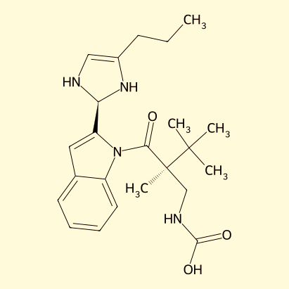 CCCC1=CN[C@H](c2cc3ccccc3n2C(=O)[C@](C)(CNC(=O)O)C(C)(C)C)N1